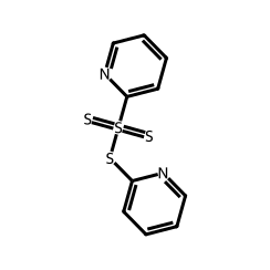 S=S(=S)(Sc1ccccn1)c1ccccn1